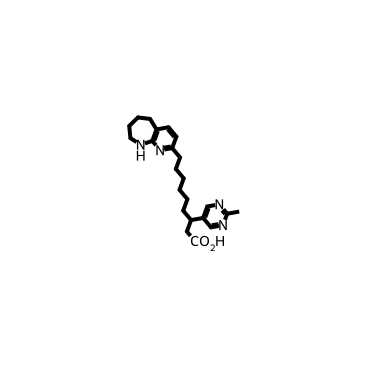 Cc1ncc(C(CCCCCCc2ccc3c(n2)NCCCC3)CC(=O)O)cn1